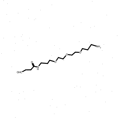 NCCCOCCOCCOCCCNC(=O)CCC=O